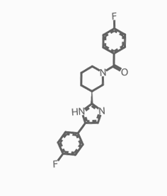 O=C(c1ccc(F)cc1)N1CCC[C@H](c2ncc(-c3ccc(F)cc3)[nH]2)C1